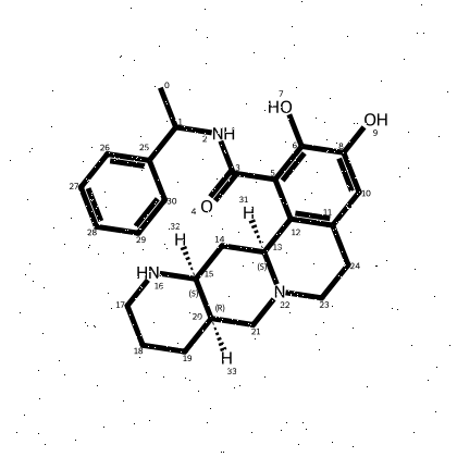 CC(NC(=O)c1c(O)c(O)cc2c1[C@@H]1C[C@@H]3NCCC[C@@H]3CN1CC2)c1ccccc1